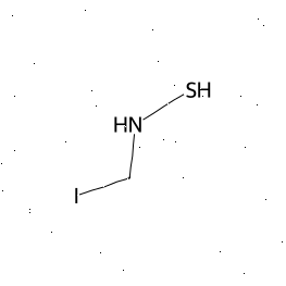 SNCI